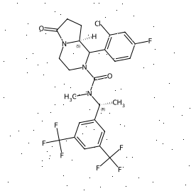 C[C@H](c1cc(C(F)(F)F)cc(C(F)(F)F)c1)N(C)C(=O)N1CCN2C(=O)CC[C@H]2C1c1ccc(F)cc1Cl